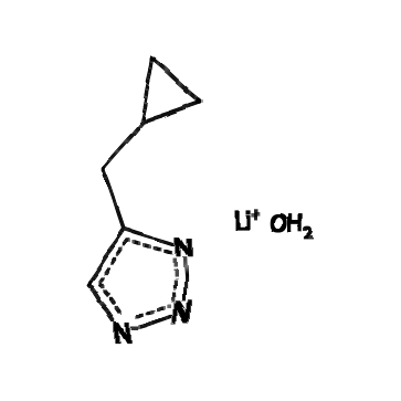 O.[Li+].c1[n-]nnc1CC1CC1